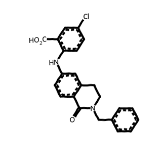 O=C(O)c1cc(Cl)ccc1Nc1ccc2c(c1)CCN(Cc1ccccc1)C2=O